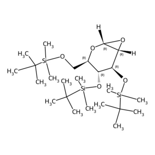 CC(C)(C)[Si](C)(C)OC[C@H]1O[C@@H]2O[C@@H]2[C@@H](O[Si](C)(C)C(C)(C)C)[C@@H]1O[Si](C)(C)C(C)(C)C